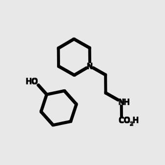 O=C(O)NCCN1CCCCC1.OC1CCCCC1